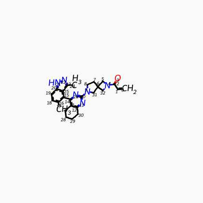 C=CC(=O)N1CC2(CCN(c3nc4c(c(-c5c(C)ccc6[nH]nc(C)c56)n3)CCCC4)C2)C1